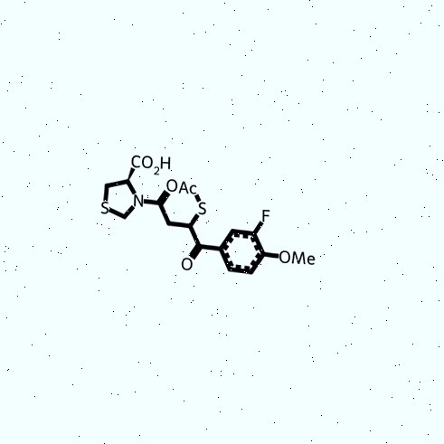 COc1ccc(C(=O)C(CC(=O)N2CSC[C@H]2C(=O)O)SC(C)=O)cc1F